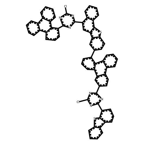 Clc1nc(-c2ccc3c4ccccc4c4c(-c5ccc6sc7c8ccccc8c(-c8nc(Cl)nc(-c9cccc%10c%11ccccc%11c%11ccccc%11c9%10)n8)cc7c6c5)cccc4c3c2)nc(-c2cccc3c2sc2ccccc23)n1